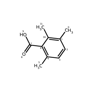 Cc1ccc(C)c(C(=O)O)c1C